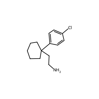 NCCC1(c2ccc(Cl)cc2)CCCCC1